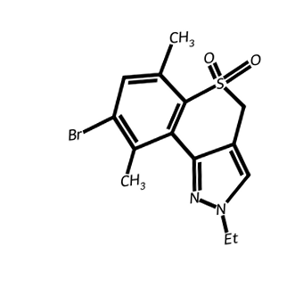 CCn1cc2c(n1)-c1c(C)c(Br)cc(C)c1S(=O)(=O)C2